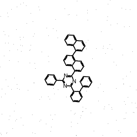 c1ccc(-c2nc(-c3ccccc3-c3ccccc3)nc(-c3cccc4c(-c5cccc6ccccc56)cccc34)n2)cc1